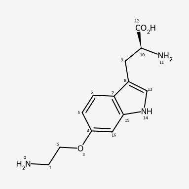 NCCOc1ccc2c(C[C@H](N)C(=O)O)c[nH]c2c1